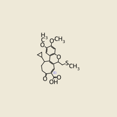 COc1cc2c(cc1OC)C1=C(/C=C(/C(=O)O)C(=O)CCC1C1CC1)C(CSC)O2